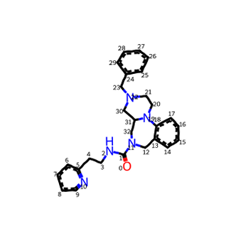 O=C(NCCc1ccccn1)N1Cc2ccccc2N2CCN(Cc3ccccc3)CC2C1